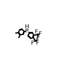 Cc1ccc(Pc2ccc(C(F)(F)F)c(C(F)(F)F)c2)cc1C